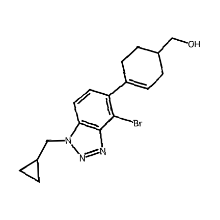 OCC1CC=C(c2ccc3c(nnn3CC3CC3)c2Br)CC1